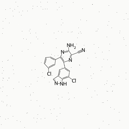 N#Cc1nc(-c2cc(Cl)c3[nH]ncc3c2)c(-c2cccc(Cl)c2)nc1N